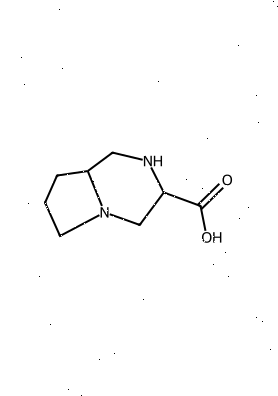 O=C(O)C1CN2CCCC2CN1